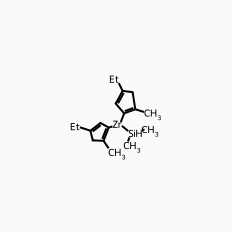 CCC1=C[C]([Zr]([C]2=C(C)CC(CC)=C2)[SiH](C)C)=C(C)C1